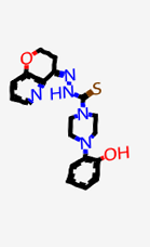 Oc1ccccc1N1CCN(C(=S)N/N=C2/CCOc3cccnc32)CC1